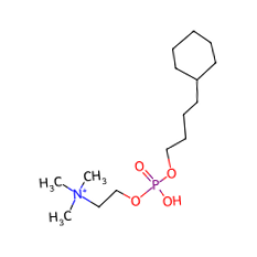 C[N+](C)(C)CCOP(=O)(O)OCCCCC1CCCCC1